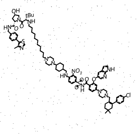 Cc1ncsc1-c1ccc([C@H](C)NC(=O)[C@@H]2C[C@@H](O)CN2C(=O)[C@@H](NCCCCCCCCCCCN2CCN(C3CCC(CNc4ccc(S(=O)(=O)NC(=O)c5ccc(N6CCN(CC7=C(c8ccc(Cl)cc8)CC(C)(C)CC7)CC6)cc5Oc5cnc6[nH]ccc6c5)cc4[N+](=O)[O-])CC3)CC2)C(C)(C)C)cc1